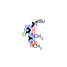 CN1C(=O)N(c2cc(NC(=O)c3csc(C(C)(C)C)n3)cnc2Cl)Cc2cnc(S(C)(=O)=O)nc21